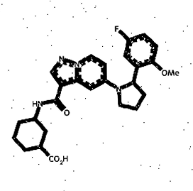 COc1ccc(F)cc1C1CCCN1c1ccn2ncc(C(=O)NC3CCCC(C(=O)O)C3)c2c1